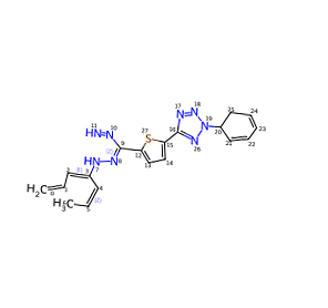 C=C/C=C(\C=C/C)N/N=C(\N=N)c1ccc(-c2nnn(C3C=CC=CC3)n2)s1